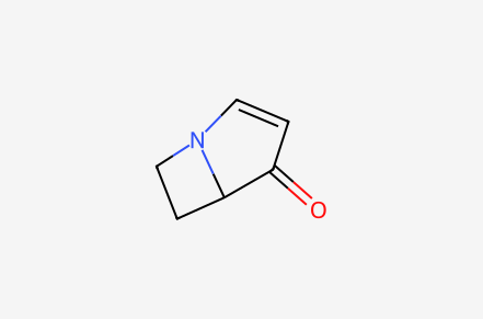 O=C1C=CN2CCC12